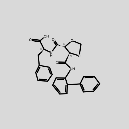 O=C(O)[C@H](Cc1ccccc1)NC(=O)[C@@H]1OCO[C@H]1C(=O)Nc1ccccc1-c1ccccc1